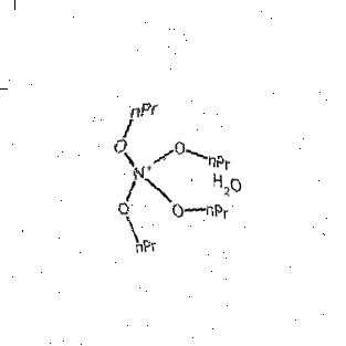 CCCO[N+](OCCC)(OCCC)OCCC.O